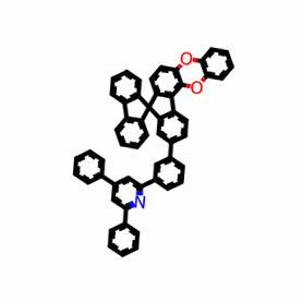 c1ccc(-c2cc(-c3ccccc3)nc(-c3cccc(-c4ccc5c(c4)C4(c6ccccc6-c6ccccc64)c4ccc6c(c4-5)Oc4ccccc4O6)c3)c2)cc1